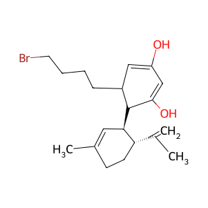 C=C(C)[C@@H]1CCC(C)=C[C@H]1C1C(O)=CC(O)=CC1CCCCBr